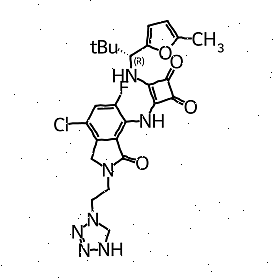 Cc1ccc([C@H](Nc2c(Nc3c(F)cc(Cl)c4c3C(=O)N(CCN3CNN=N3)C4)c(=O)c2=O)C(C)(C)C)o1